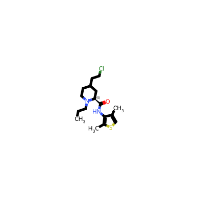 CCCN1CCC(CCCl)C[C@H]1C(=O)Nc1c(C)csc1C